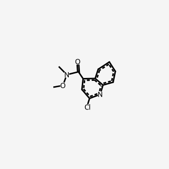 CON(C)C(=O)c1cc(Cl)nc2ccccc12